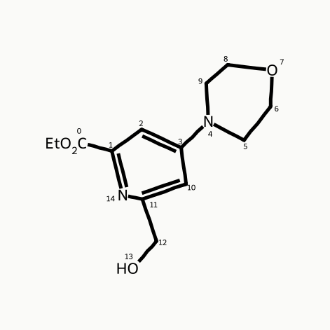 CCOC(=O)c1cc(N2CCOCC2)cc(CO)n1